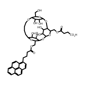 O=C(O)CCC(=O)OCC1OC2OC3C(COC(=O)CCCc4ccc5ccc6cccc7ccc4c5c67)OC(CCCCOC4C(CO)OC(OC1C(O)C2O)C(O)C4O)C(O)C3O